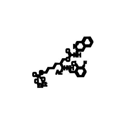 CCOP(=O)(OCC)OCCCC[C@@H](COC(=O)Nc1cc2ccccc2cn1)N(NCc1cccc(F)c1Cl)C(C)=O